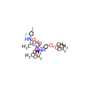 CC(C)(CCNC(=O)C(NC(=O)OC(C)(C)C)c1ccc(OCCOC(C)(C)C)cc1)CC(=O)Nc1ccc(I)cc1F